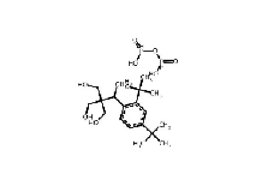 CC(C)(C)c1ccc(C(O)C(CO)(CO)CO)c(C(C)(C)C)c1.O=[PH](O)O[PH](=O)O